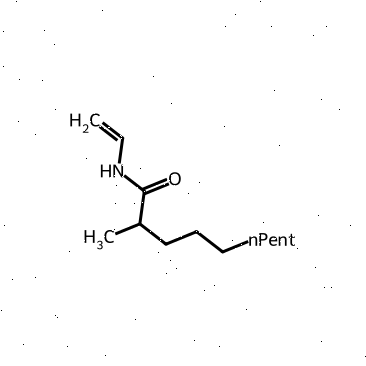 C=CNC(=O)C(C)CCCCCCCC